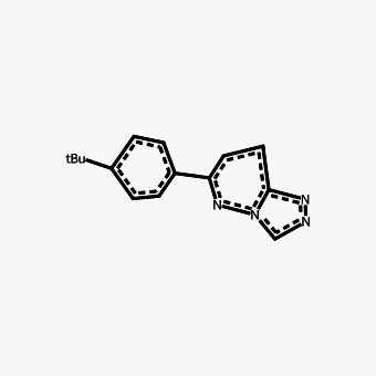 CC(C)(C)c1ccc(-c2ccc3nncn3n2)cc1